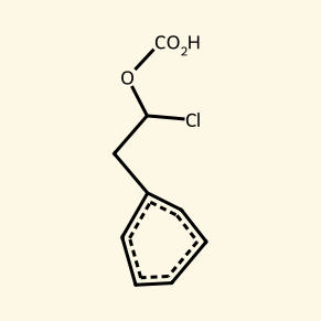 O=C(O)OC(Cl)Cc1ccccc1